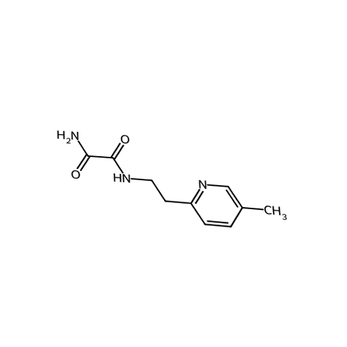 Cc1ccc(CCNC(=O)C(N)=O)nc1